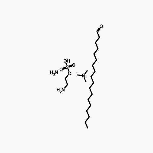 CCCCCCCCCCCCCCCCCC=O.CN(C)C.N.NCCOS(=O)(=O)O